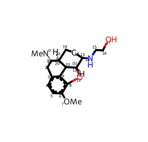 CN[C@H]1Cc2ccc(OC)c3c2C2[C@H](O3)C(NCCO)CC[C@@H]21